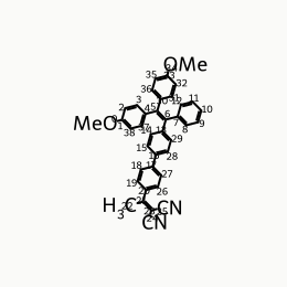 COc1ccc(C(=C(c2ccccc2)c2ccc(-c3ccc(C(C)=C(C#N)C#N)cc3)cc2)c2ccc(OC)cc2)cc1